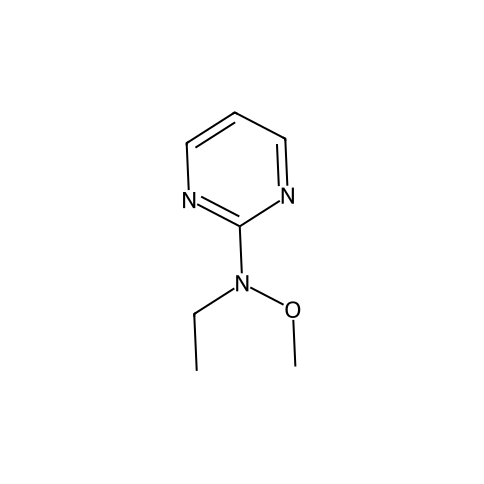 CCN(OC)c1ncccn1